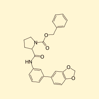 O=C(Nc1cccc(-c2ccc3c(c2)OCO3)c1)C1CCCN1C(=O)OCc1ccccc1